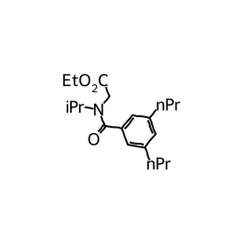 CCCc1cc(CCC)cc(C(=O)N(CC(=O)OCC)C(C)C)c1